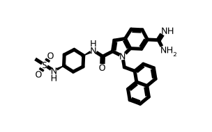 CS(=O)(=O)N[C@H]1CC[C@@H](NC(=O)c2cc3ccc(C(=N)N)cc3n2Cc2cccc3ccccc23)CC1